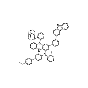 CCc1ccc(-c2ccc3c(c2)B2c4cccc5c4N(c4ccccc4C54C5CC6CC(C5)CC4C6)c4cc(-c5cccc(-c6ccc7sc8ccccc8c7c6)c5)cc(c42)N3c2ccccc2C)cc1